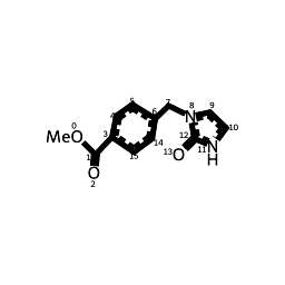 COC(=O)c1ccc(Cn2cc[nH]c2=O)cc1